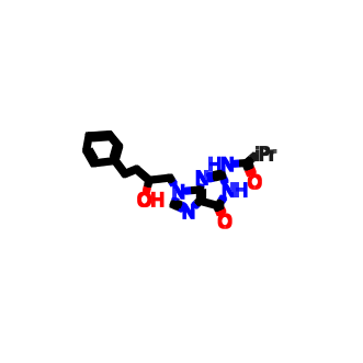 CC(C)C(=O)Nc1nc2c(ncn2CC(O)CCc2ccccc2)c(=O)[nH]1